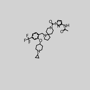 CC(=O)Nc1ccn(C(=O)N2CCC3(CCCN3Cc3ccc(C(F)(F)F)cc3OC3CCN(C4CC4)CC3)CC2)n1